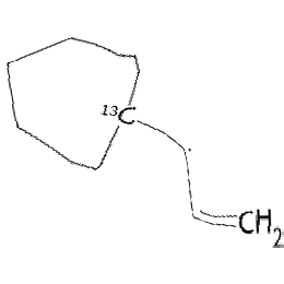 C=C[CH][13CH]1CCCCC1